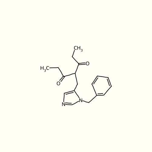 CCC(=O)C(Cc1cncn1Cc1ccccc1)C(=O)CC